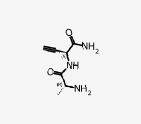 C#C[C@H](NC(=O)[C@@H](C)N)C(N)=O